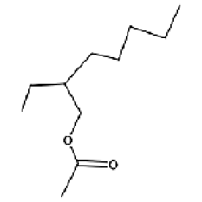 CCCCCC(CC)COC(C)=O